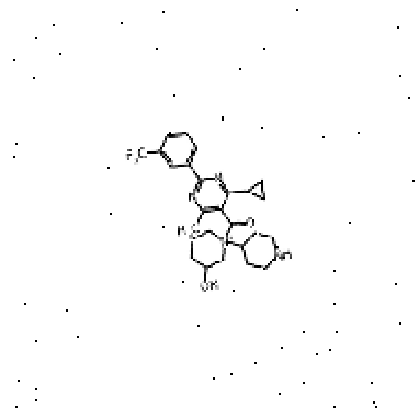 Cc1nc(-c2cccc(C(F)(F)F)c2)nc(C2CC2)c1C(=O)[N+]1(C2CCNCC2)CCCC(O)C1